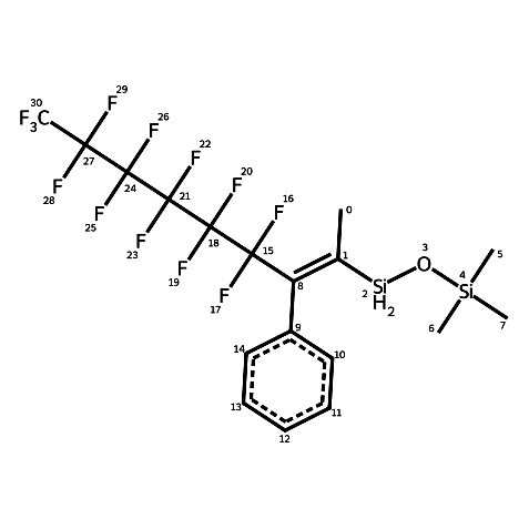 CC([SiH2]O[Si](C)(C)C)=C(c1ccccc1)C(F)(F)C(F)(F)C(F)(F)C(F)(F)C(F)(F)C(F)(F)F